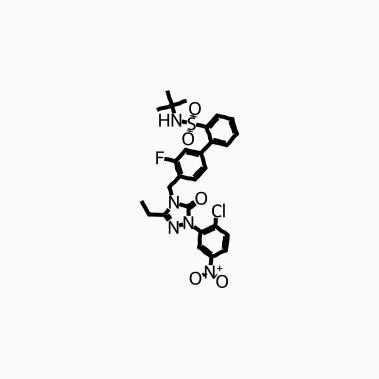 CCc1nn(-c2cc([N+](=O)[O-])ccc2Cl)c(=O)n1Cc1ccc(-c2ccccc2S(=O)(=O)NC(C)(C)C)cc1F